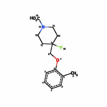 Cc1ccccc1OCC1(F)CCN(C(=O)O)CC1